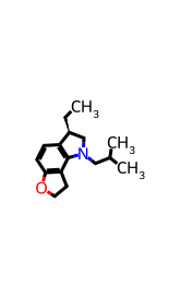 CC[C@H]1CN(CC(C)C)c2c1ccc1c2CCO1